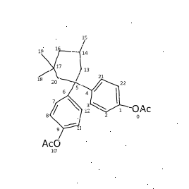 CC(=O)Oc1ccc(C2(c3ccc(OC(C)=O)cc3)CC(C)CC(C)(C)C2)cc1